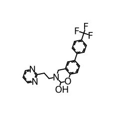 OC1Oc2ccc(-c3ccc(C(F)(F)F)cc3)cc2CN1CCc1ncccn1